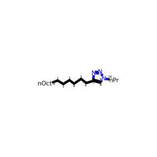 CCCCCCCCCCCCCCc1cn(CCC)nn1